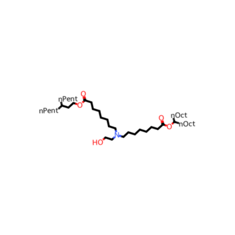 CCCCCCCCC(CCCCCCCC)OC(=O)CCCCCCCN(CCO)CCCCCCCC(=O)OCCC(CCCCC)CCCCC